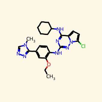 CCOc1cc(-c2nncn2C)ccc1Nc1nc(NC2CCCCC2)c2ccc(Cl)n2n1